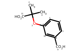 CC(C)(Oc1cccc(C(=O)O)c1)C(=O)O